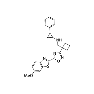 COc1ccc2nc(-c3nc(C4(CNC5C[C@@H]5c5ccccc5)CCC4)no3)sc2c1